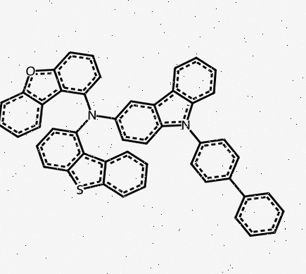 c1ccc(-c2ccc(-n3c4ccccc4c4cc(N(c5cccc6oc7ccccc7c56)c5cccc6sc7ccccc7c56)ccc43)cc2)cc1